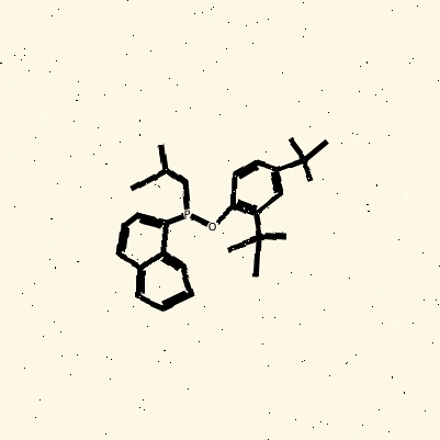 CC(C)CP(Oc1ccc(C(C)(C)C)cc1C(C)(C)C)c1cccc2ccccc12